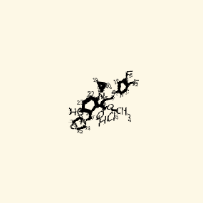 CCOC(=O)c1c(CSc2ccc(F)c(F)c2)n(C2CC2)c2ccc(O)c(CN3CCOCC3)c12.Cl